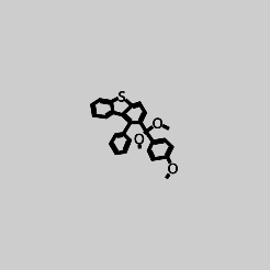 COc1ccc(C(OC)(OC)c2ccc3sc4ccccc4c3c2-c2ccccc2)cc1